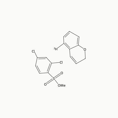 COS(=O)(=O)c1ccc(Cl)cc1Cl.[2H]c1cccc2c1C=CCO2